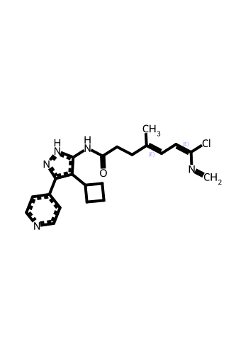 C=N/C(Cl)=C\C=C(/C)CCC(=O)Nc1[nH]nc(-c2ccncc2)c1C1CCC1